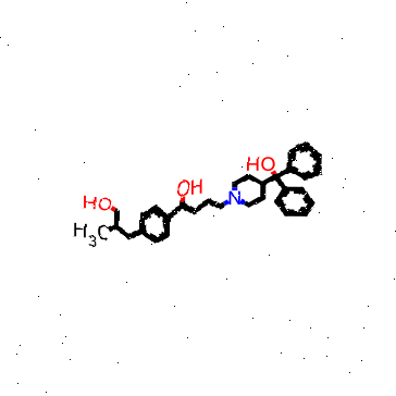 CC(CO)Cc1ccc(C(O)CCCN2CCC(C(O)(c3ccccc3)c3ccccc3)CC2)cc1